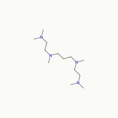 CN(C)CCN(C)CCCN(C)CCN(C)C